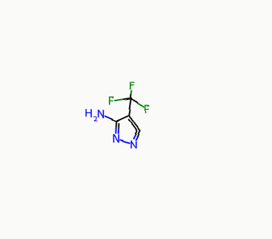 NC1=NN=C=C1C(F)(F)F